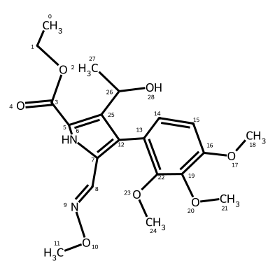 CCOC(=O)c1[nH]c(/C=N/OC)c(-c2ccc(OC)c(OC)c2OC)c1C(C)O